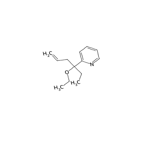 C=CCC(CC)(OCC)c1ccccn1